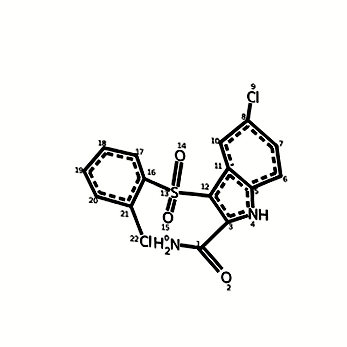 NC(=O)c1[nH]c2ccc(Cl)cc2c1S(=O)(=O)c1ccccc1Cl